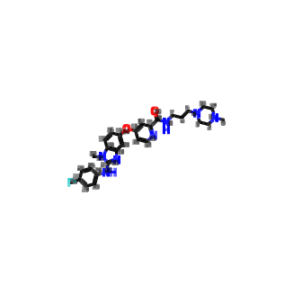 CN1CCN(CCCNC(=O)c2cc(Oc3ccc4c(c3)nc(Nc3ccc(F)cc3)n4C)ccn2)CC1